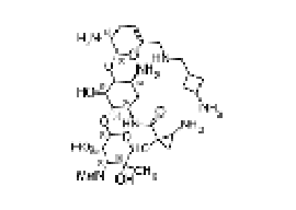 CN[C@@H]1[C@@H](O)[C@@H](O[C@H]2[C@H](NC(=O)C3(O)CC3N)C[C@H](N)C(O[C@H]3OC(CNCC4CC(N)C4)=CC[C@H]3N)[C@@H]2O)OC[C@]1(C)O